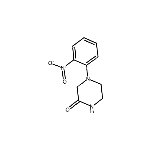 O=C1CN(c2ccccc2[N+](=O)[O-])CCN1